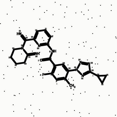 Cc1cc(F)c(C(=O)Nc2cccc(C(=N)N3CCCCC3=N)n2)cc1-n1nnc(C2CC2)n1